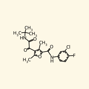 Cc1oc(C(=O)Nc2ccc(F)c(Cl)c2)c(C)c1C(=O)C(=O)NC(C)(C)C